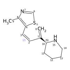 C=C(/C=C\c1scnc1C)[C@@H]1CCCCN1